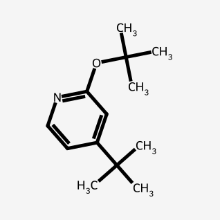 CC(C)(C)Oc1cc(C(C)(C)C)ccn1